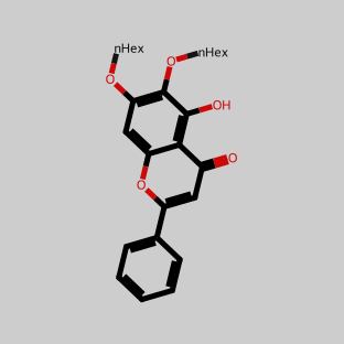 CCCCCCOc1cc2oc(-c3ccccc3)cc(=O)c2c(O)c1OCCCCCC